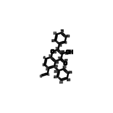 C=Cc1ccc2oc(-c3ccccc3)c(O)c(=O)c2c1-c1ccccc1